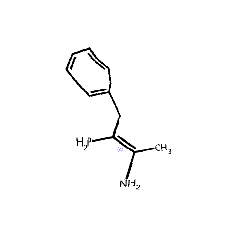 C/C(N)=C(/P)Cc1ccccc1